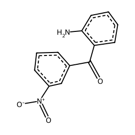 Nc1ccccc1C(=O)c1cccc([N+](=O)[O-])c1